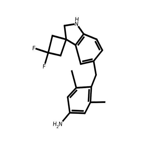 Cc1cc(N)cc(C)c1Cc1ccc2c(c1)C1(CN2)CC(F)(F)C1